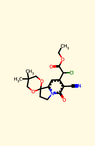 CCOC(=O)C(Cl)c1cc2n(c(=O)c1C#N)CCC21OCC(C)(C)CO1